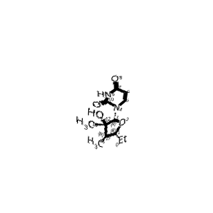 CC[C@H]1O[C@@H](n2ccc(=O)[nH]c2=O)[C@@](C)(O)[C@@H]1C